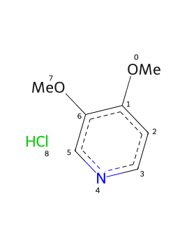 COc1ccncc1OC.Cl